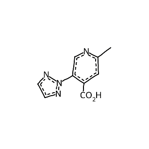 Cc1cc(C(=O)O)c(-n2nccn2)cn1